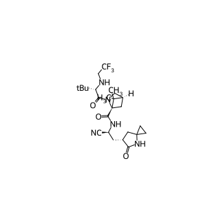 CC(C)(C)[C@H](NCC(F)(F)F)C(=O)N1C[C@H]2C[C@@]1(C(=O)N[C@H](C#N)C[C@@H]1CC3(CC3)NC1=O)C2(C)C